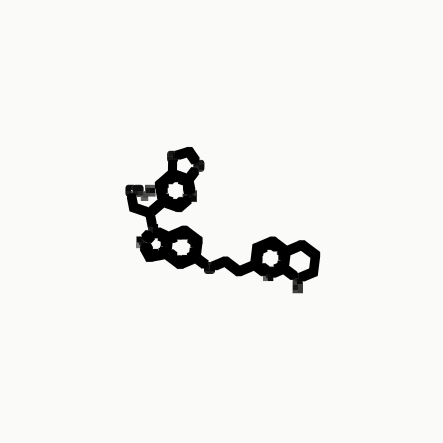 O=C(O)CC(c1cnc2c(c1)OCO2)n1ncc2cc(OCCc3ccc4c(n3)NCCC4)ccc21